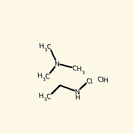 CCNCl.CN(C)C.Cl